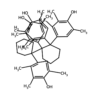 Cc1cc(C2(C3(c4cc(C)c(O)c(C)c4C)CCCCC3(c3cc(C)c(O)c(C)c3C)c3cc(C)c(O)c(C)c3C)CCCCC2)c(C)c(C)c1O